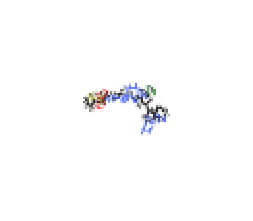 CC(C)(CNc1cc(-c2c[nH]c3ncccc23)cc(Cl)n1)CNS(=O)(=O)c1cccs1